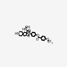 O=C(Oc1ccc(S(=O)(=O)C2(C(=O)NO)CCC3(CCNCC3)C2)cc1)c1ccc(OC(F)(F)F)cc1